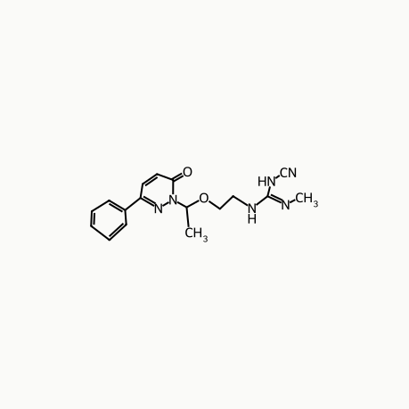 C/N=C(\NC#N)NCCOC(C)n1nc(-c2ccccc2)ccc1=O